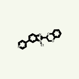 CCn1c(C2COc3ccccc3O2)nc2ccc(-c3ccncc3)cc21